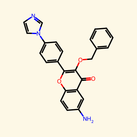 Nc1ccc2oc(-c3ccc(-n4ccnc4)cc3)c(OCc3ccccc3)c(=O)c2c1